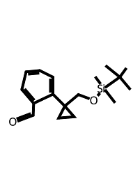 CC(C)(C)[Si](C)(C)OCC1(c2ccccc2C=O)CC1